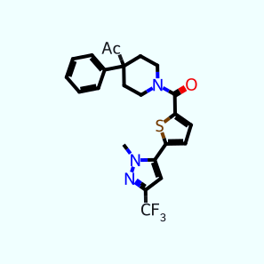 CC(=O)C1(c2ccccc2)CCN(C(=O)c2ccc(-c3cc(C(F)(F)F)nn3C)s2)CC1